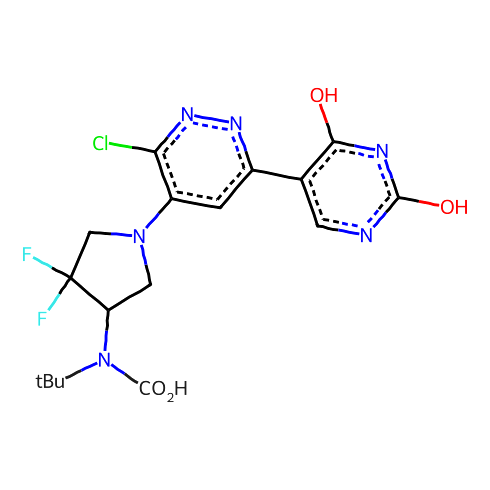 CC(C)(C)N(C(=O)O)C1CN(c2cc(-c3cnc(O)nc3O)nnc2Cl)CC1(F)F